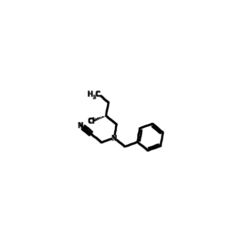 CC[C@@H](Cl)CN(CC#N)Cc1ccccc1